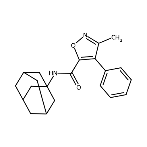 Cc1noc(C(=O)NC23CC4CC(CC(C4)C2)C3)c1-c1ccccc1